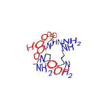 C[C@H](N)C(=O)N1CCC[C@H]1C(=O)N1CCC(=S(=O)=O)[C@H]1C(=O)O.N=C(N)NCCC[C@H](N)C(=O)O